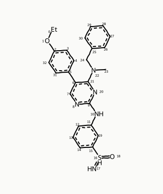 CCOc1ccc(-c2cnc(Nc3cccc([SH](=N)=O)c3)nc2N(C)Cc2ccccc2)cc1